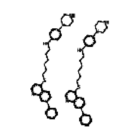 c1ccc(-c2ccc3c(SCCCCCCNc4ccc(N5CCNCC5)cc4)ccnc3c2)cc1.c1ccc(-c2ccc3c(SCCCCCCNc4ccc(N5CCNCC5)cc4)ccnc3c2)cc1